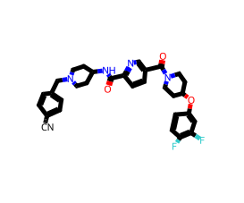 N#Cc1ccc(CN2CCC(NC(=O)c3ccc(C(=O)N4CCC(Oc5ccc(F)c(F)c5)CC4)cn3)CC2)cc1